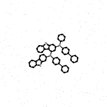 c1ccc(-c2ccc(N(c3ccccc3)c3cc(N(c4ccc(-c5ccccc5)cc4)c4ccc5c(c4)sc4ccccc45)c4c(c3)oc3ccccc34)cc2)cc1